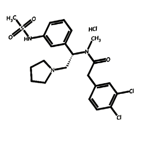 CN(C(=O)Cc1ccc(Cl)c(Cl)c1)[C@H](CN1CCCC1)c1cccc(NS(C)(=O)=O)c1.Cl